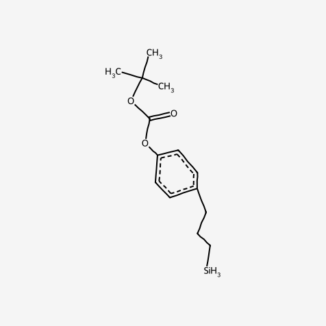 CC(C)(C)OC(=O)Oc1ccc(CCC[SiH3])cc1